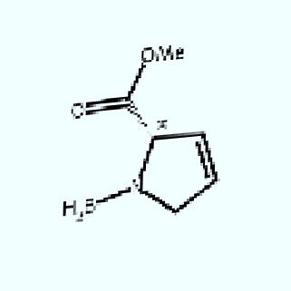 BN1CC=C[C@H]1C(=O)OC